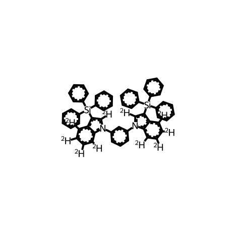 [2H]c1c([2H])c([2H])c2c(c1[2H])c([Si](c1ccccc1)(c1ccccc1)c1ccccc1)c([2H])n2-c1cccc(-n2c([2H])c([Si](c3ccccc3)(c3ccccc3)c3ccccc3)c3c([2H])c([2H])c([2H])c([2H])c32)c1